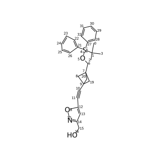 CC(C)(C)[Si](OCC12CC(C#Cc3cc(CO)no3)(C1)C2)(c1ccccc1)c1ccccc1